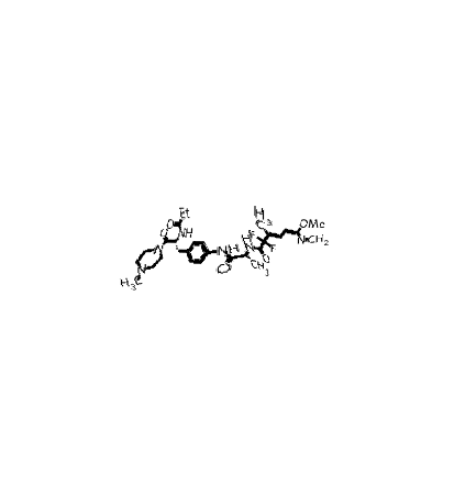 C=N/C(=C\C=C(/C)C(F)(F)C(=O)N[C@@H](C)C(=O)Nc1ccc(C[C@@H](NC(=O)CC)C(=O)N2CCN(C)CC2)cc1)OC